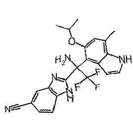 Cc1cc(OC(C)C)c(C(N)(c2nc3cc(C#N)ccc3[nH]2)C(F)(F)F)c2cc[nH]c12